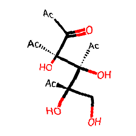 CC(=O)C(=O)[C@@](O)(C(C)=O)[C@](O)(C(C)=O)[C@@](O)(CO)C(C)=O